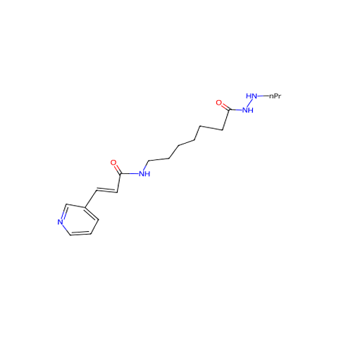 CCCNNC(=O)CCCCCCNC(=O)C=Cc1cccnc1